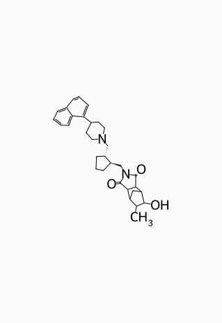 CC1C(O)C2CC1C1C(=O)N(C[C@H]3CCC[C@@H]3CN3CCC(c4cccc5ccccc45)CC3)C(=O)C21